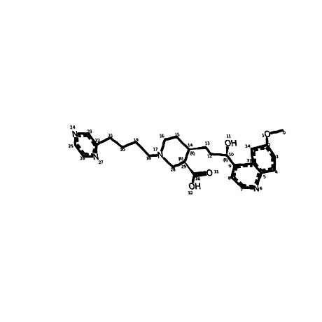 COc1ccc2nccc([C@H](O)CC[C@@H]3CCN(CCCCc4cnccn4)C[C@@H]3C(=O)O)c2c1